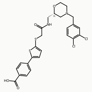 O=C(CSc1ccc(-c2ccc(C(=O)O)cc2)s1)NC[C@H]1CN(Cc2ccc(Cl)c(Cl)c2)CCO1